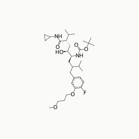 COCCCOc1cc(CC(C[C@H](NC(=O)OC(C)(C)C)[C@@H](O)C[C@H](C(=O)NC2CC2)C(C)C)C(C)C)ccc1F